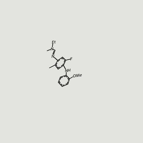 CCN(C)C=Nc1cc(F)c(Nc2ccccc2OC)cc1C